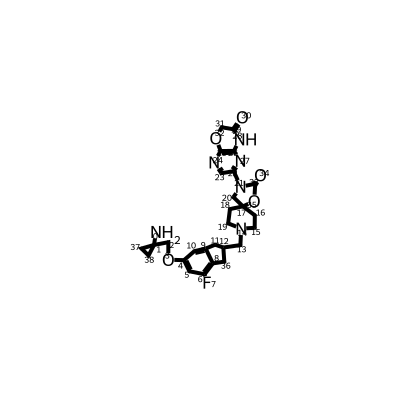 NC1(COc2cc(F)c3c(c2)CC(CN2CCC4(CC2)CN(c2cnc5c(n2)NC(=O)CO5)C(=O)O4)C3)CC1